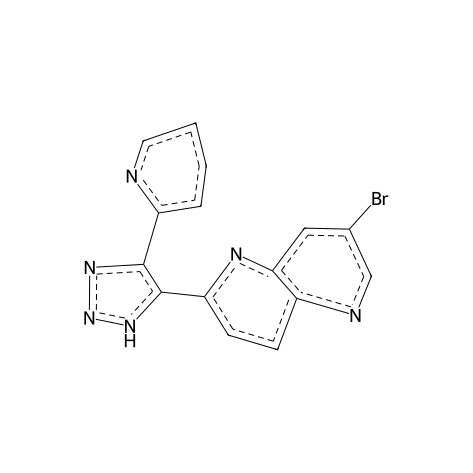 Brc1cnc2ccc(-c3[nH]nnc3-c3ccccn3)nc2c1